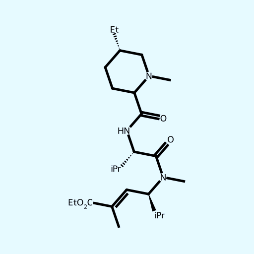 CCOC(=O)/C(C)=C/[C@H](C(C)C)N(C)C(=O)[C@@H](NC(=O)C1CC[C@H](CC)CN1C)C(C)C